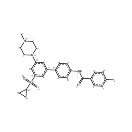 Cc1ncc(C(=O)Nc2ccc(-c3cc(N4CCN(C)CC4)cc(S(=O)(=O)C4CC4)c3)cn2)cn1